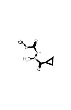 CN(NC(=O)OC(C)(C)C)C(=O)C1CC1